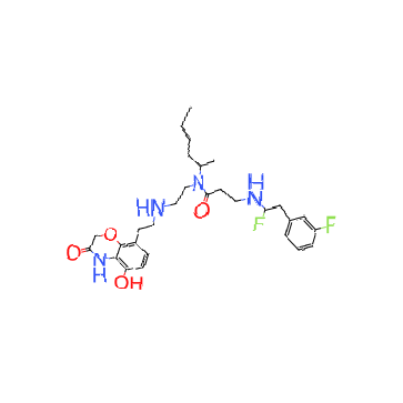 CCCCC(C)N(CCNCCc1ccc(O)c2c1OCC(=O)N2)C(=O)CCNC(F)Cc1cccc(F)c1